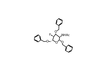 CC(=O)N[C@H]1[C@@H](OCc2ccccc2)O[C@H](COCc2ccccc2)[C@@H](F)[C@@H]1OCc1ccccc1